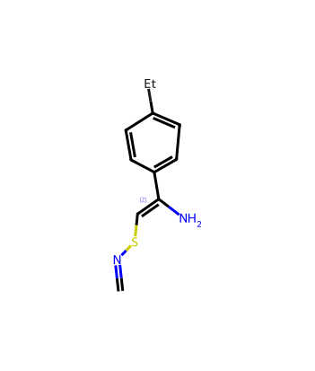 C=NS/C=C(\N)c1ccc(CC)cc1